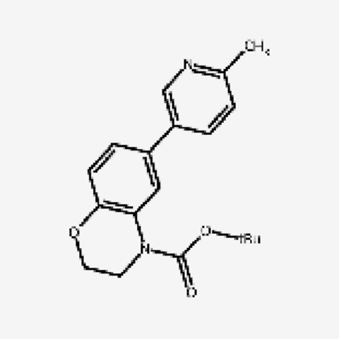 Cc1ccc(-c2ccc3c(c2)N(C(=O)OC(C)(C)C)CCO3)cn1